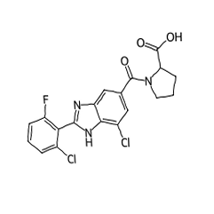 O=C(O)C1CCCN1C(=O)c1cc(Cl)c2[nH]c(-c3c(F)cccc3Cl)nc2c1